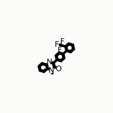 Cn1c(=O)c(-c2ccc(-c3ccccc3C(F)(F)F)cc2)nc2ccccc21